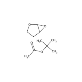 C1CC2OC2O1.CC(=O)OC(C)(C)C